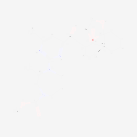 C[C@H]1CN(C(=O)OC(C)(C)C)CCCN1c1nc(C(=O)C2CCC[C@@]3(CCCCC34OCCO4)C2=O)cc(C(F)(F)F)n1